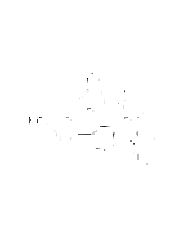 C=Nc1ccc(-c2ccc(C#N)nc2)cc1-c1c(C)ccc(=O)n1-c1ccc(F)c(C(F)(F)F)c1